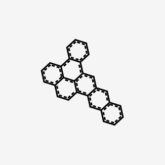 c1ccc2cc3c(cc2c1)cc1c2ccccc2c2cccc4ccc3c1c42